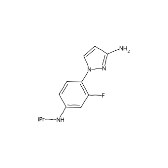 CC(C)Nc1ccc(-n2ccc(N)n2)c(F)c1